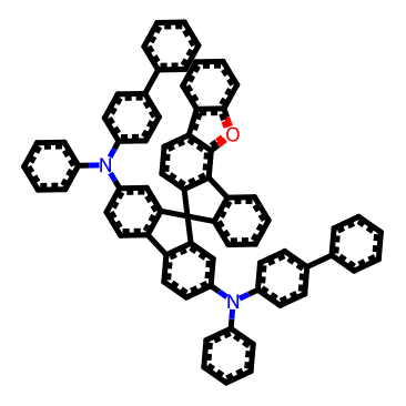 c1ccc(-c2ccc(N(c3ccccc3)c3ccc4c(c3)C3(c5cc(N(c6ccccc6)c6ccc(-c7ccccc7)cc6)ccc5-4)c4ccccc4-c4c3ccc3c4oc4ccccc43)cc2)cc1